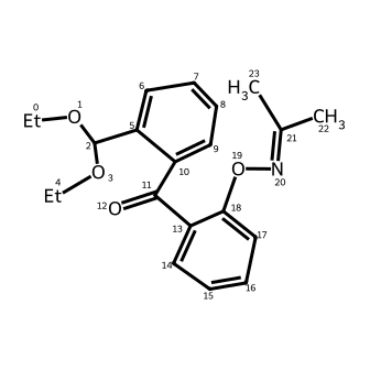 CCOC(OCC)c1ccccc1C(=O)c1ccccc1ON=C(C)C